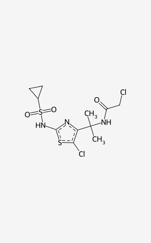 CC(C)(NC(=O)CCl)c1nc(NS(=O)(=O)C2CC2)sc1Cl